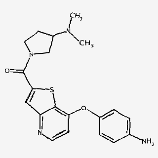 CN(C)C1CCN(C(=O)c2cc3nccc(Oc4ccc(N)cc4)c3s2)C1